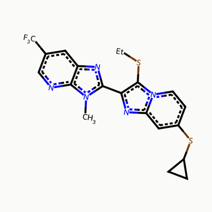 CCSc1c(-c2nc3cc(C(F)(F)F)cnc3n2C)nc2cc(SC3CC3)ccn12